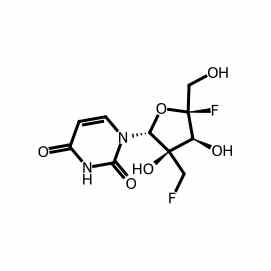 O=c1ccn([C@@H]2O[C@](F)(CO)[C@@H](O)[C@]2(O)CF)c(=O)[nH]1